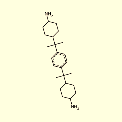 CC(C)(c1ccc(C(C)(C)C2CCC(N)CC2)cc1)C1CCC(N)CC1